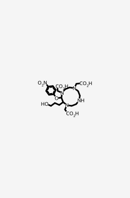 O=C(O)CN1CCNCCN(CC(=O)O)C(CCCO)C(Oc2ccc([N+](=O)[O-])cc2)N(CC(=O)O)CC1